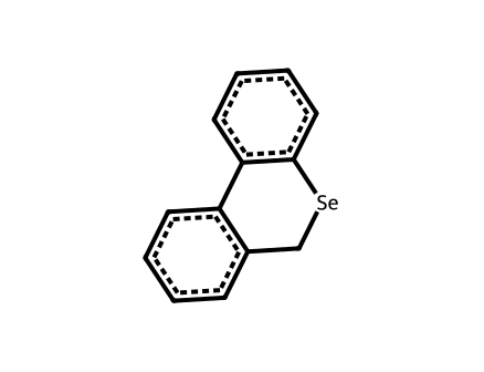 c1ccc2c(c1)C[Se]c1ccccc1-2